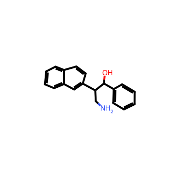 NCC(c1ccc2ccccc2c1)C(O)c1ccccc1